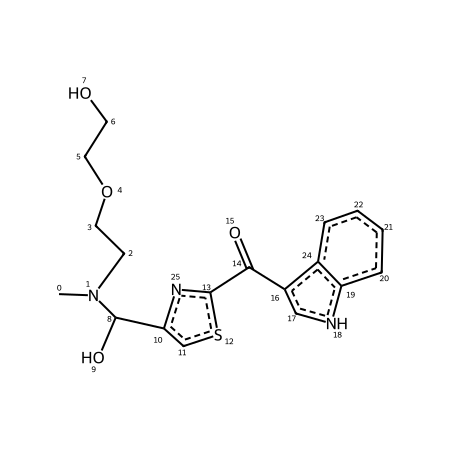 CN(CCOCCO)C(O)c1csc(C(=O)c2c[nH]c3ccccc23)n1